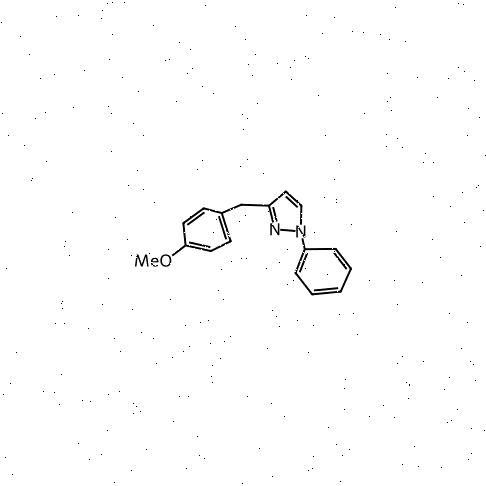 COc1ccc(Cc2ccn(-c3ccccc3)n2)cc1